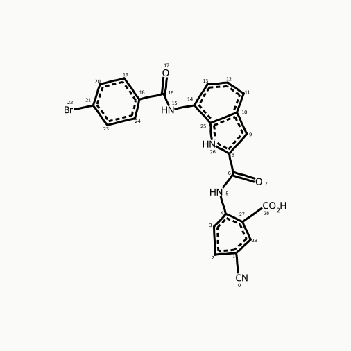 N#Cc1ccc(NC(=O)c2cc3cccc(NC(=O)c4ccc(Br)cc4)c3[nH]2)c(C(=O)O)c1